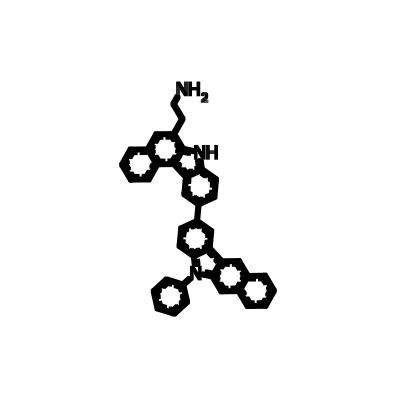 NCCc1cc2ccccc2c2c1[nH]c1ccc(-c3ccc4c(c3)c3cc5ccccc5cc3n4-c3ccccc3)cc12